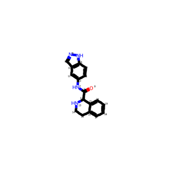 O=C(Nc1ccc2[nH]ncc2c1)C1NCCc2ccccc21